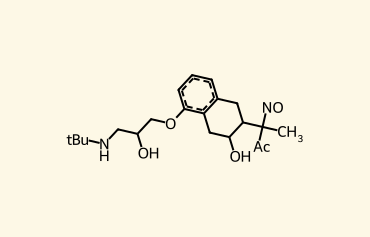 CC(=O)C(C)(N=O)C1Cc2cccc(OCC(O)CNC(C)(C)C)c2CC1O